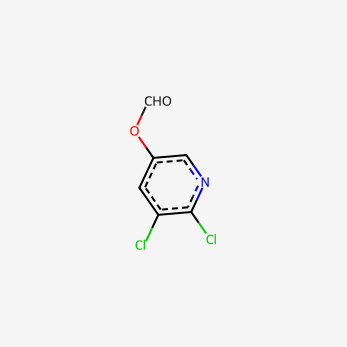 O=COc1cnc(Cl)c(Cl)c1